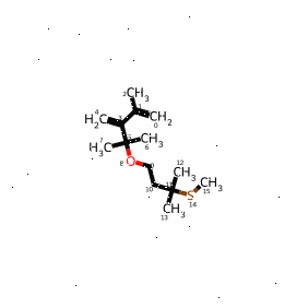 C=C(C)C(=C)C(C)(C)OCCC(C)(C)SC